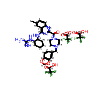 Cc1ccc2nc(C(=O)N3CCN(Cc4ccc5c(c4)OCO5)CC3)nc(NC3CCCCC3NC(=N)N)c2c1.O=C(O)C(F)(F)F.O=C(O)C(F)(F)F.O=C(O)C(F)(F)F